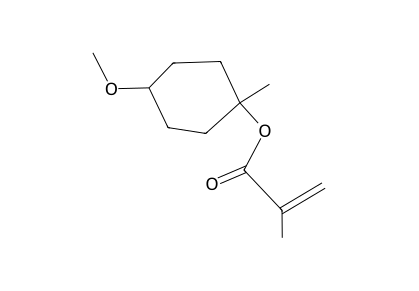 C=C(C)C(=O)OC1(C)CCC(OC)CC1